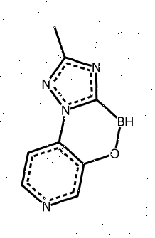 Cc1nc2n(n1)-c1ccncc1OB2